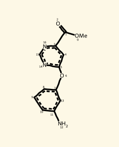 COC(=O)c1cc(Oc2cccc(N)c2)ncn1